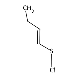 CC/C=C/SCl